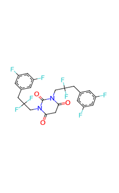 O=C1CC(=O)N(CC(F)(F)Cc2cc(F)cc(F)c2)C(=O)N1CC(F)(F)Cc1cc(F)cc(F)c1